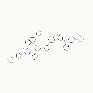 c1ccc(-c2ccc(-c3nc(-c4ccccc4)nc(-c4cccc5oc6c(-c7cccc(-c8ccc9oc%10ccc(-n%11c%12ccccc%12c%12cc(-c%13ccccc%13)ccc%12%11)cc%10c9c8)c7)cc(-c7cccc8c7oc7ccccc78)cc6c45)n3)cc2)cc1